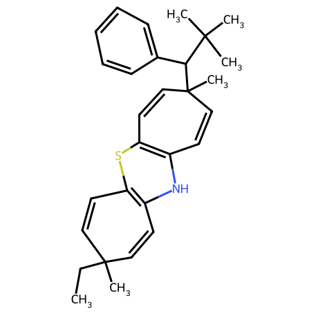 CCC1(C)C=CC2=C(C=C1)SC1=C(C=CC(C)(C(c3ccccc3)C(C)(C)C)C=C1)N2